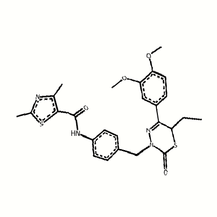 CCC1SC(=O)N(Cc2ccc(NC(=O)c3sc(C)nc3C)cc2)N=C1c1ccc(OC)c(OC)c1